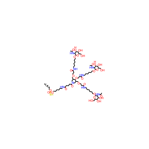 C=C=C=CCOP(=O)(S)OCCCCCCNC(=O)CCCC(=O)N1CC(COCCC(=O)NCCCCCCOC2OC(CO)C(O)C(O)C2NC(C)=O)C(OCCC(=O)NCCCCCCOC2OC(CO)C(O)C(O)C2NC(C)=O)C(COCCC(=O)NCCCCCCOC2OC(CO)C(O)C(O)C2NC(C)=O)C1